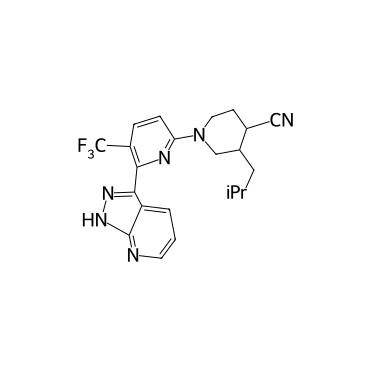 CC(C)CC1CN(c2ccc(C(F)(F)F)c(-c3n[nH]c4ncccc34)n2)CCC1C#N